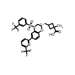 CC1(C(=O)O)CC(C[C@H]2CN(S(=O)(=O)c3cccc(C(F)(F)F)c3)c3cc(-c4cccc(C(F)(F)F)n4)ccc3O2)C1